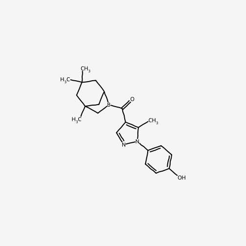 Cc1c(C(=O)B2CC3(C)CC2CC(C)(C)C3)cnn1-c1ccc(O)cc1